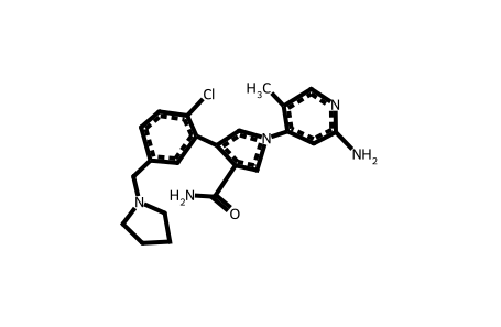 Cc1cnc(N)cc1-n1cc(C(N)=O)c(-c2cc(CN3CCCC3)ccc2Cl)c1